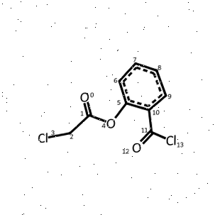 O=C(CCl)Oc1ccccc1C(=O)Cl